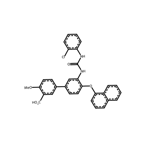 COc1ccc(-c2ccc(Oc3cccc4ccccc34)c(NC(=O)Nc3ccccc3Cl)c2)cc1C(=O)O